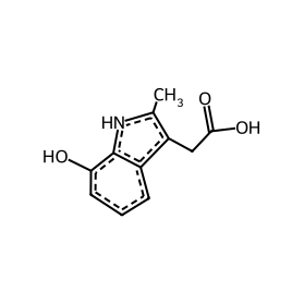 Cc1[nH]c2c(O)cccc2c1CC(=O)O